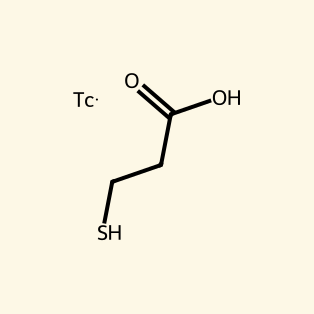 O=C(O)CCS.[Tc]